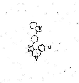 CN1Cc2cc(Cl)ccc2-n2c(nnc2C2CCC(c3onc4c3CCCC4)CC2)C1